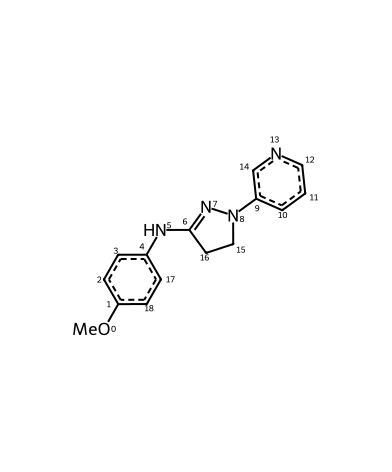 COc1ccc(NC2=NN(c3cccnc3)CC2)cc1